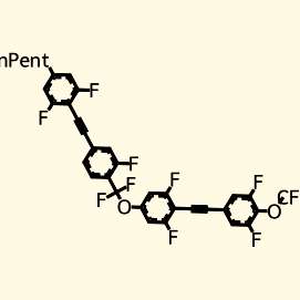 CCCCCc1cc(F)c(C#Cc2ccc(C(F)(F)Oc3cc(F)c(C#Cc4cc(F)c(OC(F)(F)F)c(F)c4)c(F)c3)c(F)c2)c(F)c1